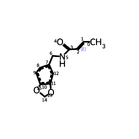 C/C=C/C(=O)NCc1ccc2c(c1)OCO2